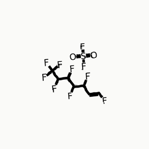 FC=CC(F)C(F)C(F)C(F)C(F)(F)F.O=S(=O)(F)F